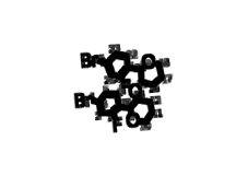 Fc1cc(Br)ccc1C1OCCCC1OC1CCCOC1c1ccc(Br)cc1F